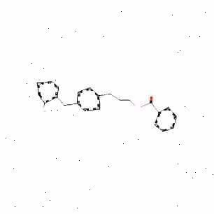 O=C(OCCCc1ccc(Cc2ccccc2O)cc1)c1ccccc1